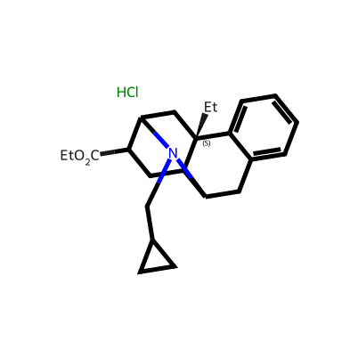 CCOC(=O)C1CC2C3Cc4ccccc4[C@@]2(CC)CC1N3CC1CC1.Cl